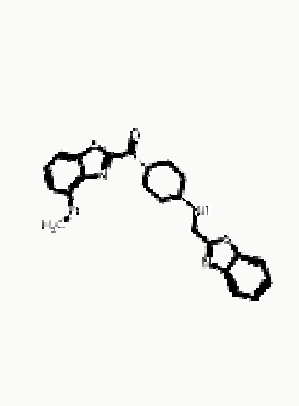 COc1cccc2sc(C(=O)[C@H]3CC[C@H](NCc4nc5ccccc5s4)CC3)nc12